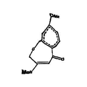 CNC1=CC(=O)c2ccc(OC)cc2OC1